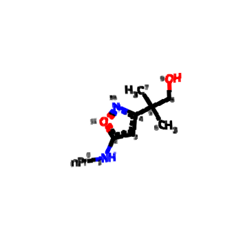 CCCNc1cc(C(C)(C)CO)no1